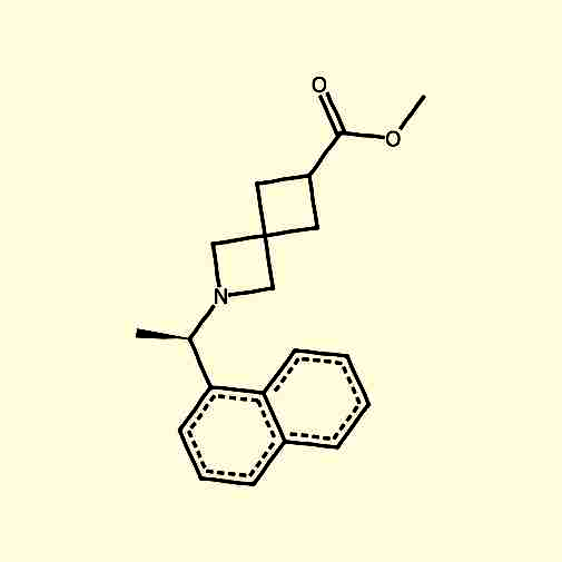 COC(=O)C1CC2(C1)CN([C@H](C)c1cccc3ccccc13)C2